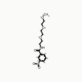 COCCOCCOCCNC(=O)c1cccc([N+](=O)[O-])c1